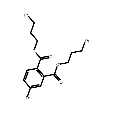 CCc1ccc(C(=O)OCCCC(C)C)c(C(=O)OCCCC(C)C)c1